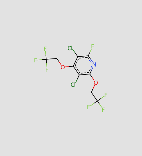 Fc1nc(OCC(F)(F)F)c(Cl)c(OCC(F)(F)F)c1Cl